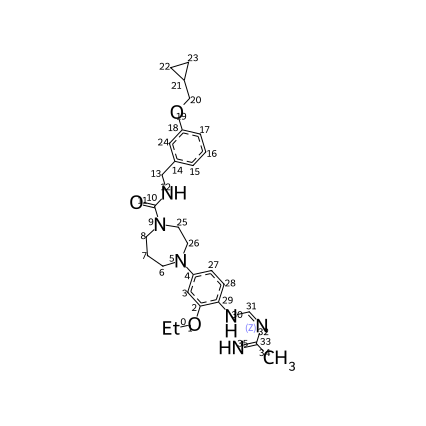 CCOc1cc(N2CCCN(C(=O)NCc3cccc(OCC4CC4)c3)CC2)ccc1N/C=N\C(C)=N